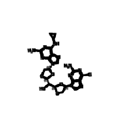 Nc1nc(Cl)c2ncn([C@H]3CO[C@@H](C(O)[C@@H]4OC[C@H](n5cnc6c(NC7CC7)nc(N)nc65)O4)O3)c2n1